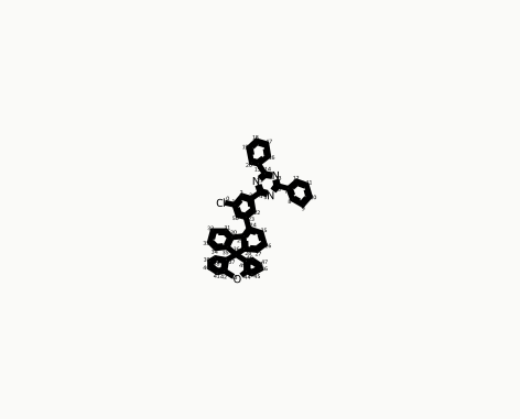 Clc1cc(-c2nc(-c3ccccc3)nc(-c3ccccc3)n2)cc(-c2cccc3c2-c2ccccc2C32c3ccccc3Oc3ccccc32)c1